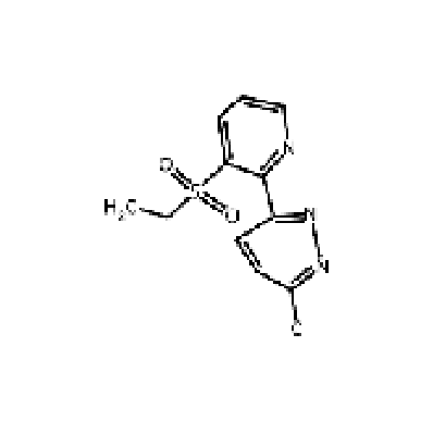 CCS(=O)(=O)c1cccnc1-c1ccc(Cl)nn1